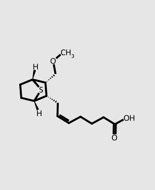 COC[C@@H]1[C@H](C/C=C\CCCC(=O)O)[C@@H]2CC[C@H]1S2